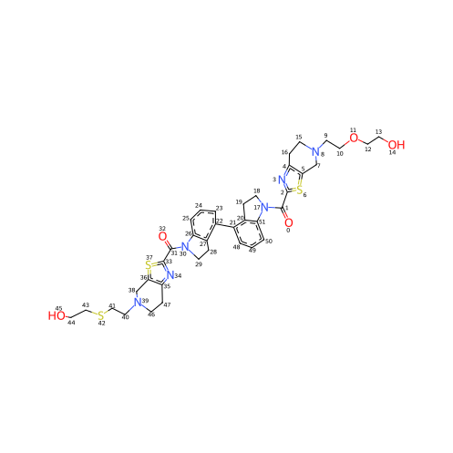 O=C(c1nc2c(s1)CN(CCOCCO)CC2)N1CCc2c(-c3cccc4c3CCN4C(=O)c3nc4c(s3)CN(CCSCCO)CC4)cccc21